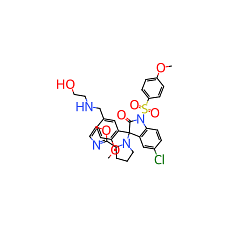 COc1ccc(S(=O)(=O)N2C(=O)C(c3cc(CNCCO)ccc3OC)(N3CCCC3c3ncco3)c3cc(Cl)ccc32)cc1